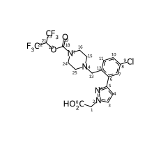 O=C(O)Cn1ccc(-c2cc(Cl)ccc2CN2CCN(C(=O)OC(C(F)(F)F)C(F)(F)F)CC2)n1